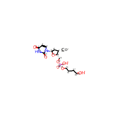 O=c1ccn([C@H]2CC[C@H](COP(=O)(O)OCCCCO)O2)c(=O)[nH]1.[Co]